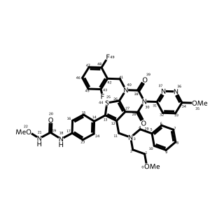 COCCN(Cc1ccccc1)Cc1c(-c2ccc(NC(=O)NOC)cc2)sc2c1c(=O)n(-c1ccc(OC)nn1)c(=O)n2Cc1c(F)cccc1F